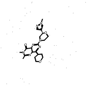 CC1=NC2C(C3CCOCC3)=NC(N3CCO[C@H](c4cnn(C)c4)C3)=NC2C(=O)N1C